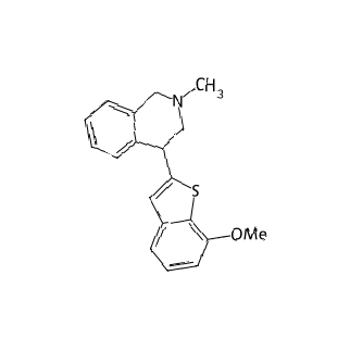 COc1cccc2cc(C3CN(C)Cc4ccccc43)sc12